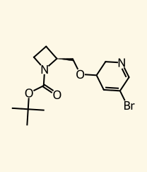 CC(C)(C)OC(=O)N1CC[C@H]1COC1C=C(Br)C=NC1